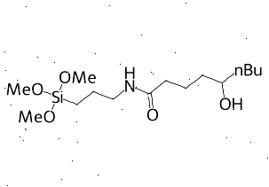 CCCCC(O)CCCC(=O)NCCC[Si](OC)(OC)OC